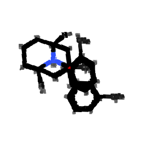 COc1cccc([C@]2(C(=O)O)C[C@H]3CCC[C@@H](C2)N3c2ccccc2OC)c1